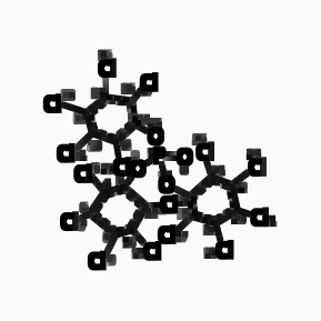 O=P(Oc1c(Cl)c(Cl)c(Cl)c(Cl)c1Cl)(Oc1c(Cl)c(Cl)c(Cl)c(Cl)c1Cl)Oc1c(Cl)c(Cl)c(Cl)c(Cl)c1Cl